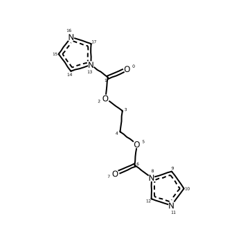 O=C(OCCOC(=O)n1ccnc1)n1ccnc1